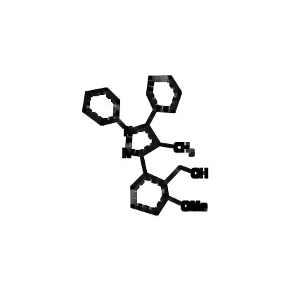 COc1cccc(-c2nn(-c3ccccc3)c(-c3ccccc3)c2C)c1CO